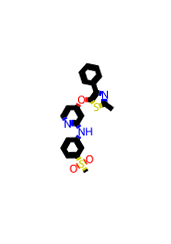 Cc1nc(-c2ccccc2)c(Oc2ccnc(Nc3cccc(S(C)(=O)=O)c3)c2)s1